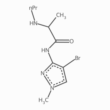 CCCNC(C)C(=O)Nc1nn(C)cc1Br